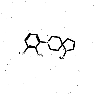 CN1CCCC12CCN(c1cccc(N)c1N)CC2